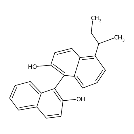 CCC(C)c1cccc2c(-c3c(O)ccc4ccccc34)c(O)ccc12